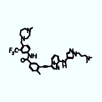 Cc1ccc(C(=O)Nc2ccc(CN3CCCN(C)CC3)c(C(F)(F)F)c2)cc1C#Cc1cnc2c(Nc3cnn(CCCN(C)C)c3)cccn12